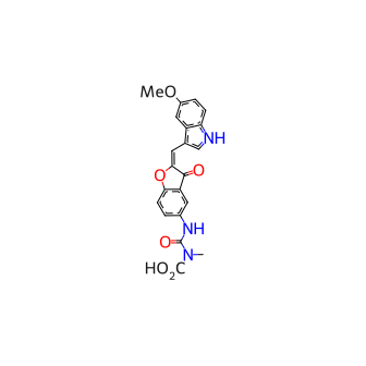 COc1ccc2[nH]cc(C=C3Oc4ccc(NC(=O)N(C)C(=O)O)cc4C3=O)c2c1